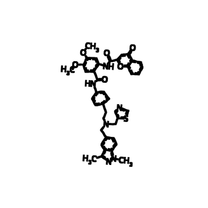 COc1cc(NC(=O)c2cc(=O)c3ccccc3o2)c(C(=O)Nc2ccc(CCN(Cc3ccc4c(c3)c(C)nn4C)Cc3cncs3)cc2)cc1OC